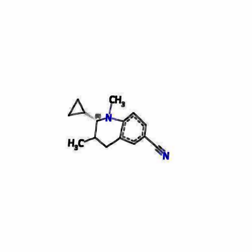 CC1Cc2cc(C#N)ccc2N(C)[C@H]1C1CC1